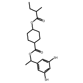 CCC(C)C(=O)OC1CCC(C(=O)OC(C)c2cc(S)cc(S)c2)CC1